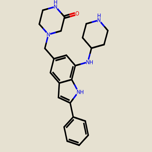 O=C1CN(Cc2cc(NC3CCNCC3)c3[nH]c(-c4ccccc4)cc3c2)CCN1